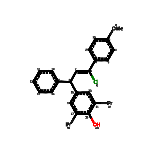 COc1ccc(C(Cl)=CC(c2ccccc2)c2cc(C(C)C)c(O)c(C(C)C)c2)cc1